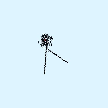 CCCCCCCCCCCCCCCCCCSCC(CO[C@H]1O[C@H](C(O)C(C)=O)[C@@H](O[C@@H]2O[C@H](COC(C)=O)[C@H](OC(C)=O)[C@H](OC(C)=O)[C@H]2OC(C)=O)[C@@](O)(C(C)=O)[C@]1(O)C(C)=O)CSCCCCCCCCCCCCCCCCCC